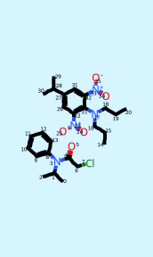 CC(C)N(C(=O)CCl)c1ccccc1.CCCN(CCC)c1c([N+](=O)[O-])cc(C(C)C)cc1[N+](=O)[O-]